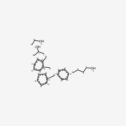 CC(C)O.CCCCO.CCO.Cc1ccccc1.Cc1ccccc1C.c1ccccc1